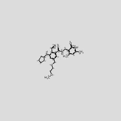 COCCOCc1cc(NC2CCCC2)c(C=N)c(C(=O)NCc2c(C)cc(C)[nH]c2=O)c1